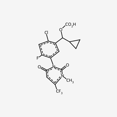 Cn1c(C(F)(F)F)cc(=O)n(-c2cc(C(OC(=O)O)C3CC3)c(Cl)cc2F)c1=O